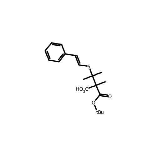 CC(C)(C)OC(=O)C(C)(C(=O)O)C(C)(C)SC=Cc1ccccc1